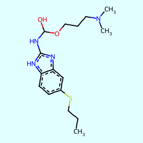 CCCSc1ccc2[nH]c(NC(O)OCCCN(C)C)nc2c1